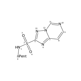 CCCCCNS(=O)(=O)c1nc2ccncn2n1